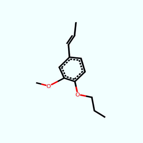 CC=Cc1ccc(OCCC)c(OC)c1